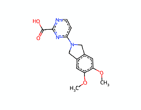 COc1cc2c(cc1OC)CN(c1ccnc(C(=O)O)n1)C2